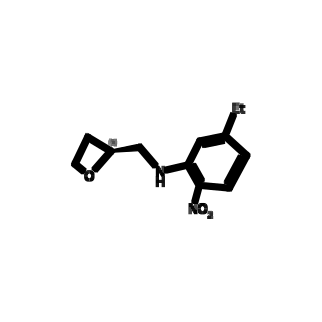 CCc1ccc([N+](=O)[O-])c(NC[C@@H]2CCO2)c1